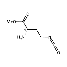 COC(=O)[C@@H](N)CCN=C=O